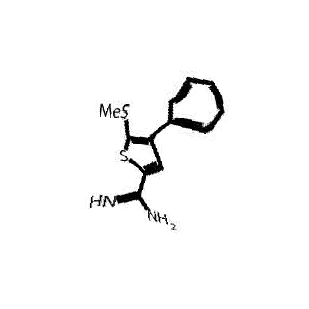 CSc1sc(C(=N)N)cc1-c1ccccc1